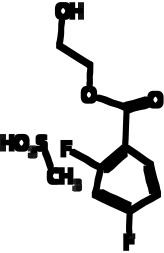 CS(=O)(=O)O.O=C(OCCO)c1ccc(F)cc1F